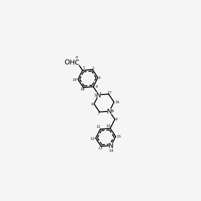 O=Cc1ccc(N2CCN(Cc3cccnc3)CC2)cc1